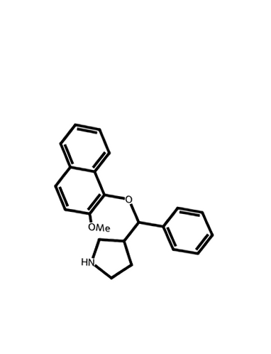 COc1ccc2ccccc2c1OC(c1ccccc1)C1CCNC1